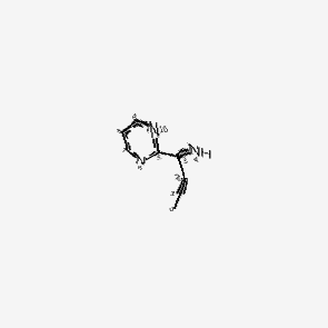 CC#CC(=N)c1ncccn1